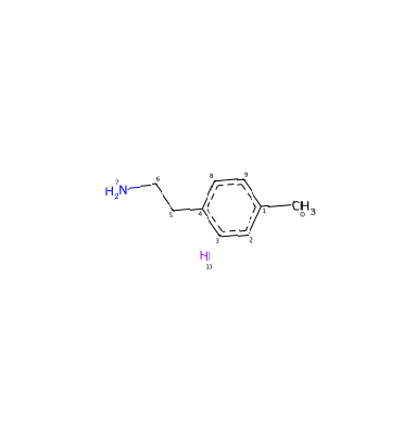 Cc1ccc(CCN)cc1.I